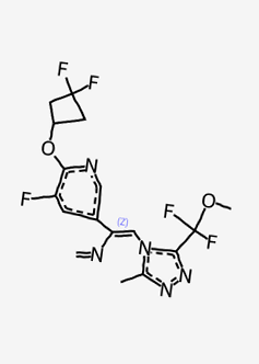 C=N/C(=C\n1c(C)nnc1C(F)(F)OC)c1cnc(OC2CC(F)(F)C2)c(F)c1